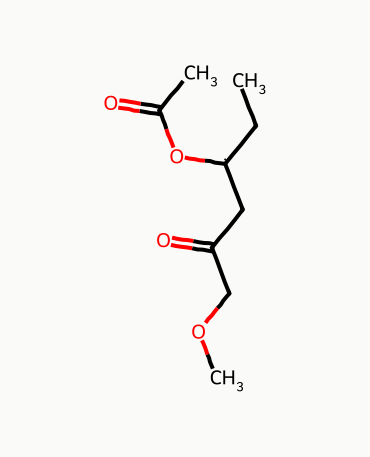 CC[C](CC(=O)COC)OC(C)=O